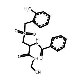 Cc1ccccc1CS(=O)(=O)CC(NC(=O)c1ccccc1)C(=O)NCC#N